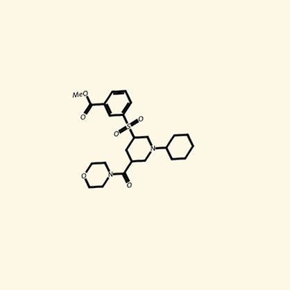 COC(=O)c1cccc(S(=O)(=O)C2CC(C(=O)N3CCOCC3)CN(C3CCCCC3)C2)c1